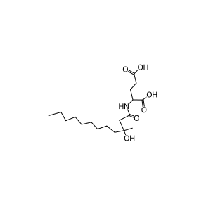 CCCCCCCCCC(C)(O)CC(=O)NC(CCC(=O)O)C(=O)O